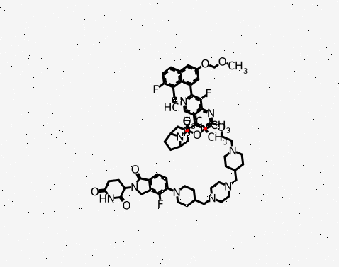 C#Cc1c(F)ccc2cc(OCOC)cc(-c3ncc4c(N5CC6CCC(C5)N6C(=O)OC(C)(C)C)nc(OCCN5CCC(CN6CCN(CC7CCN(c8ccc9c(c8F)CN(C8CCC(=O)NC8=O)C9=O)CC7)CC6)CC5)nc4c3F)c12